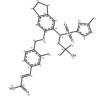 Cc1csc(S(=O)(=O)N(CC(C)(C)O)c2cc3c(cc2OCc2ccc(/C=C/C(=O)O)cc2C)CCC3)n1